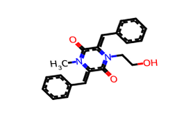 Cn1c(=O)c(=Cc2ccccc2)n(CCO)c(=O)c1=Cc1ccccc1